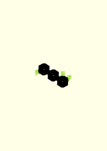 Fc1cccc(-c2ccc(-c3cccc(F)c3F)cc2)c1